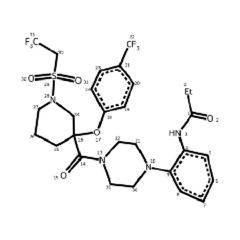 CCC(=O)Nc1ccccc1N1CCN(C(=O)C2(Oc3ccc(C(F)(F)F)cc3)CCCN(S(=O)(=O)CC(F)(F)F)C2)CC1